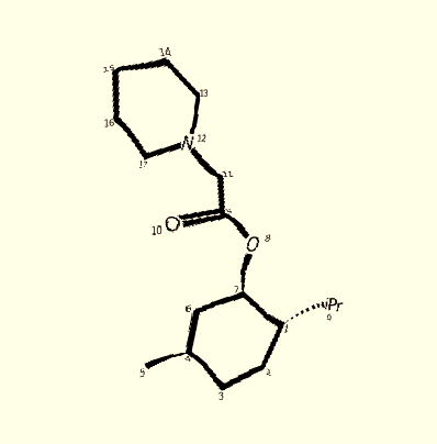 CC(C)[C@@H]1CC[C@@H](C)C[C@H]1OC(=O)CN1CCCCC1